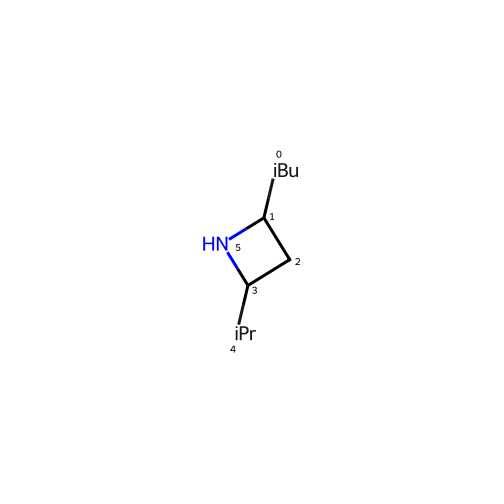 CCC(C)C1CC(C(C)C)N1